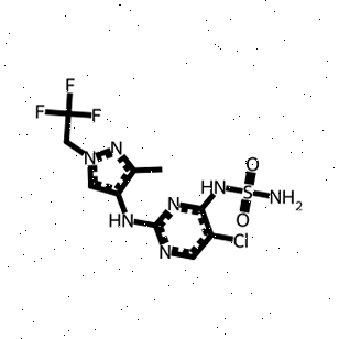 Cc1nn(CC(F)(F)F)cc1Nc1ncc(Cl)c(NS(N)(=O)=O)n1